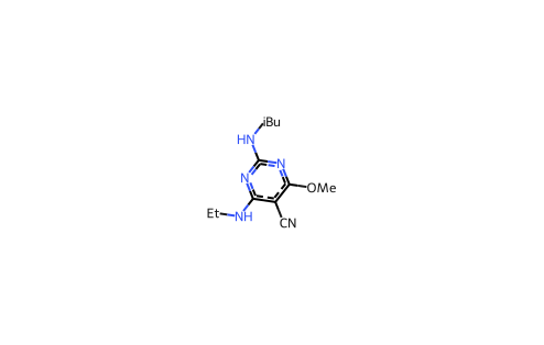 CCNc1nc(NC(C)CC)nc(OC)c1C#N